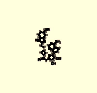 CC(C)N(CC1O[C@@H](n2cnc3c(N)ncnc32)[C@H](O)[C@@H]1O)[C@H]1C[C@@H](CCc2nc3cc(C(C)(C)C)ccc3[nH]2)C1